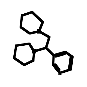 c1cncc(C(CN2CCCCC2)N2CCCCC2)c1